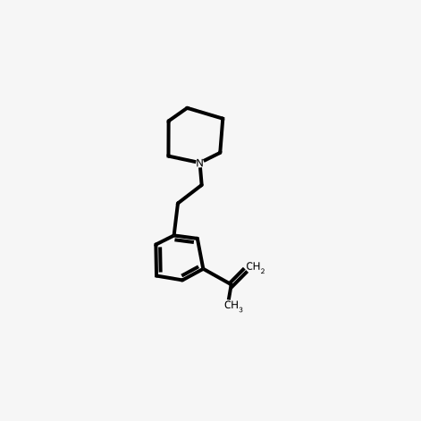 C=C(C)c1cccc(CCN2CCCCC2)c1